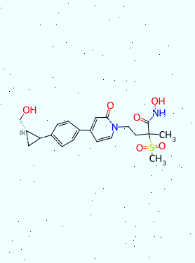 CC(CCn1ccc(-c2ccc(C3C[C@@H]3CO)cc2)cc1=O)(C(=O)NO)S(C)(=O)=O